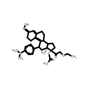 CCOCC(=O)[C@]1(OC(C)=O)CCC2C3CCC4=C/C(=N\O)CCC4=C3C(c3ccc(N(C)C)cc3)C[C@@]21C